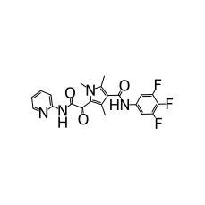 Cc1c(C(=O)Nc2cc(F)c(F)c(F)c2)c(C)n(C)c1C(=O)C(=O)Nc1ccccn1